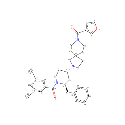 O=C(c1ccoc1)N1CCC2(CC1)CCN([C@H]1CCN(C(=O)c3cc(C(F)(F)F)cc(C(F)(F)F)c3)[C@H](Cc3ccccc3)C1)C2